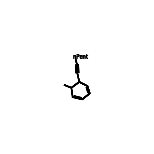 CCCCCC#CC1C=CC=CC1C